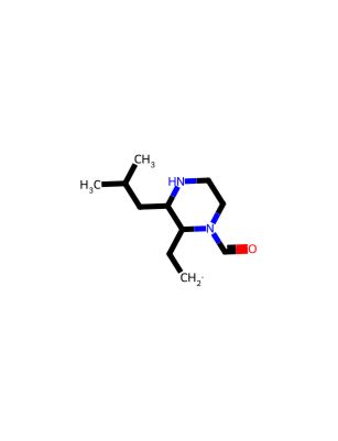 [CH2]CC1C(CC(C)C)NCCN1C=O